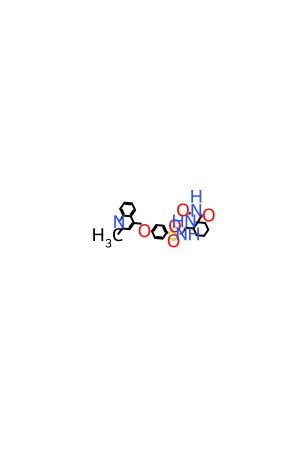 Cc1cc(COc2ccc(S(=O)(=O)NCC3CCCCC34NC(=O)NC4=O)cc2)c2ccccc2n1